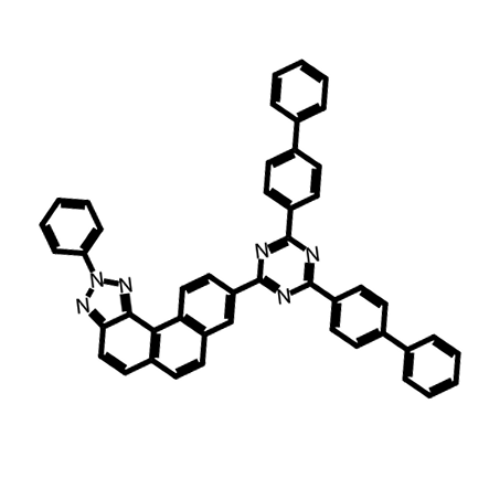 c1ccc(-c2ccc(-c3nc(-c4ccc(-c5ccccc5)cc4)nc(-c4ccc5c(ccc6ccc7nn(-c8ccccc8)nc7c65)c4)n3)cc2)cc1